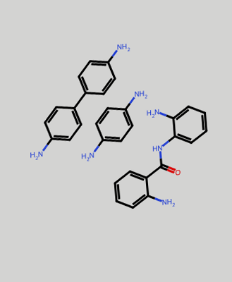 Nc1ccc(-c2ccc(N)cc2)cc1.Nc1ccc(N)cc1.Nc1ccccc1NC(=O)c1ccccc1N